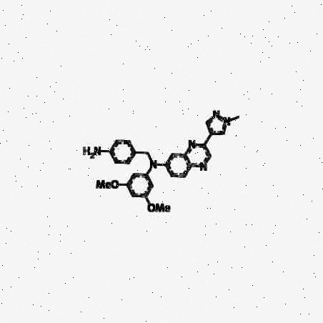 COc1cc(OC)cc(N(Cc2ccc(N)cc2)c2ccc3ncc(-c4cnn(C)c4)nc3c2)c1